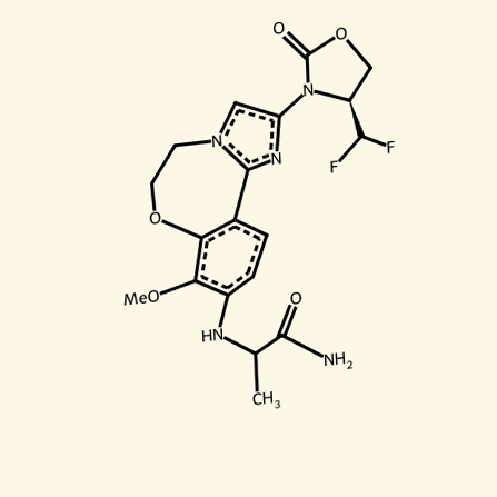 COc1c(NC(C)C(N)=O)ccc2c1OCCn1cc(N3C(=O)OC[C@H]3C(F)F)nc1-2